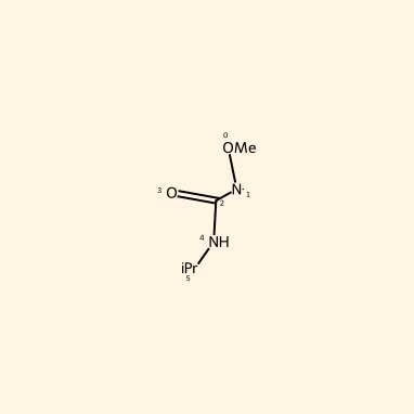 CO[N]C(=O)NC(C)C